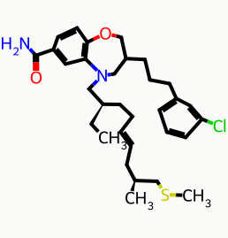 CC[C@H](CC/C=C/C[C@H](C)CSC)CN1CC(CCCc2cccc(Cl)c2)COc2ccc(C(N)=O)cc21